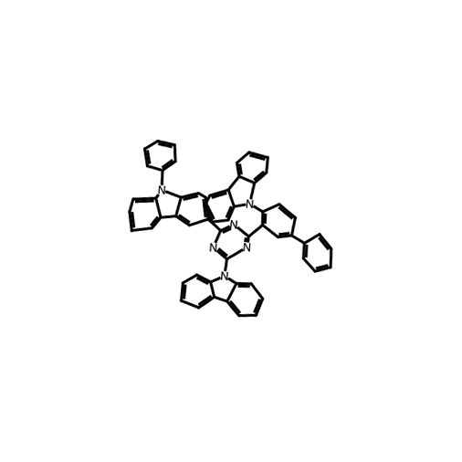 c1ccc(-c2ccc(-n3c4ccccc4c4ccccc43)c(-c3nc(-c4ccc5c(c4)c4ccccc4n5-c4ccccc4)nc(-n4c5ccccc5c5ccccc54)n3)c2)cc1